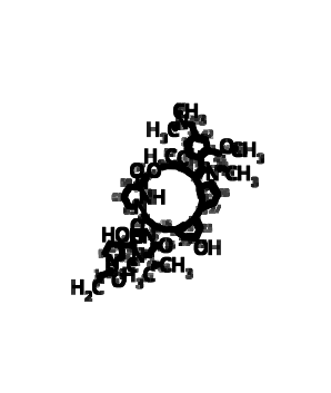 C=CC(=O)N1CC[C@@](O)(C(=O)N(C)[C@H](C(=O)N[C@H]2Cc3cc(O)cc(c3)-c3ccc4c(c3)c(c(-c3ccc(CN(C)C)cc3COC)n4CC)CC(C)(C)COC(=O)[C@@H]3CCCN(N3)C2=O)C(C)C)C1